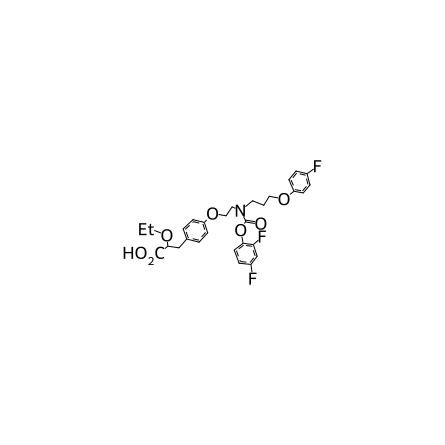 CCOC(Cc1ccc(OCCN(CCCOc2ccc(F)cc2)C(=O)Oc2ccc(F)cc2F)cc1)C(=O)O